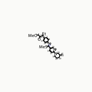 CCN(C(=O)COC)c1ccc(/N=C(\SC)c2ccc(N3CCCC(F)C3)nc2)cc1